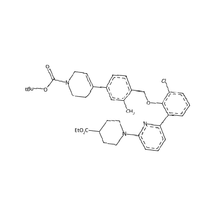 CCOC(=O)C1CCN(c2cccc(-c3cccc(Cl)c3OCc3ccc(C4=CCN(C(=O)OC(C)(C)C)CC4)cc3C)n2)CC1